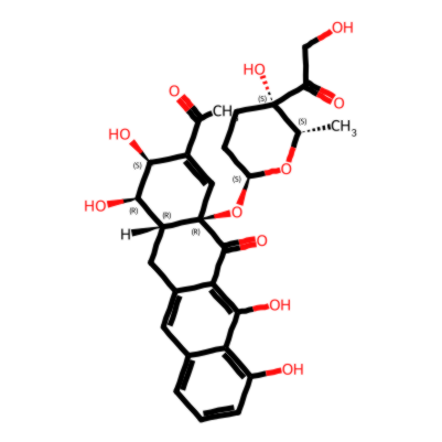 CC(=O)C1=C[C@]2(O[C@H]3CC[C@@](O)(C(=O)CO)[C@H](C)O3)C(=O)c3c(cc4cccc(O)c4c3O)C[C@@H]2[C@@H](O)[C@H]1O